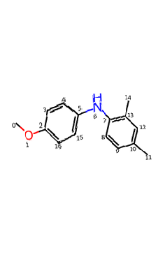 COc1ccc(Nc2ccc(C)cc2C)cc1